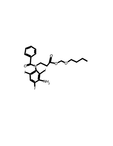 CCCCOCOC(=O)CCN(C(=O)c1ccccc1)c1c(I)cc(I)c(N)c1I